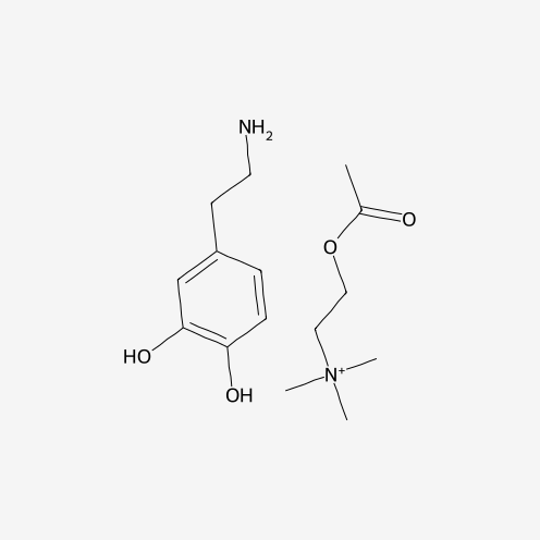 CC(=O)OCC[N+](C)(C)C.NCCc1ccc(O)c(O)c1